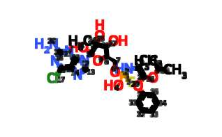 CC(N[P@@](O)(=S)OC[C@H]1O[C@](O)(n2cnc3c(Cl)nc(N)nc32)[C@](C)(O)[C@@H]1O)=C(Oc1ccccc1)OC(C)C